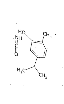 Cc1ccc(C(C)C)cc1O.N=C=O